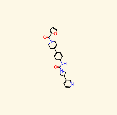 O=C(Nc1ccc(C2=CCN(C(=O)c3ccco3)CC2)cc1)N1CC(c2cccnc2)C1